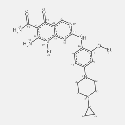 CCOc1cc(N2CCN(C3CC3)CC2)ccc1Nc1ncc2c(=O)c(C(N)=O)c(N)n(CC)c2n1